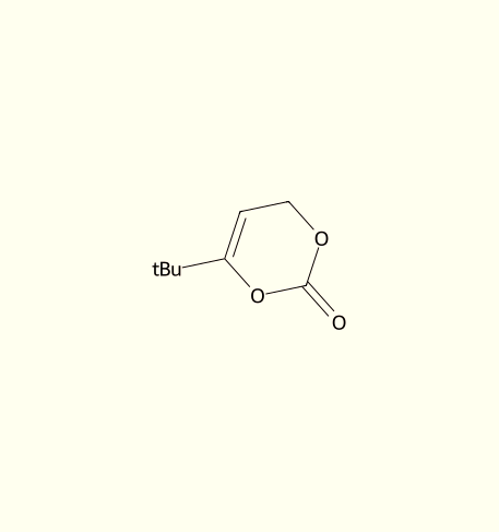 CC(C)(C)C1=CCOC(=O)O1